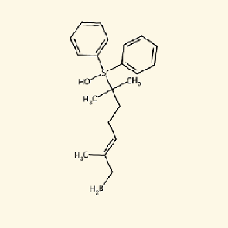 BC/C(C)=C/CCC(C)(C)[Si](O)(c1ccccc1)c1ccccc1